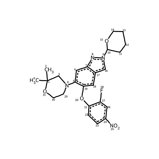 CC1(C)CN(c2cc3nn(C4CCCCO4)cc3cc2Oc2ccc([N+](=O)[O-])cc2F)CCO1